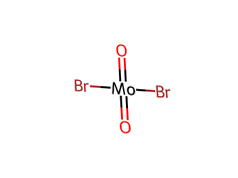 [O]=[Mo](=[O])([Br])[Br]